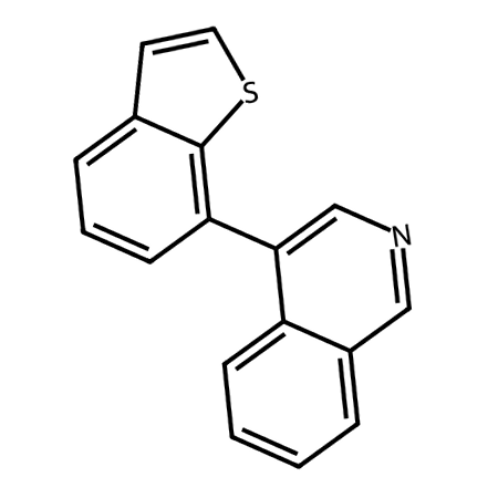 c1ccc2c(-c3cccc4ccsc34)cncc2c1